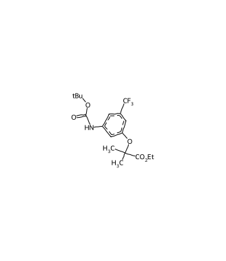 CCOC(=O)C(C)(C)Oc1cc(NC(=O)OC(C)(C)C)cc(C(F)(F)F)c1